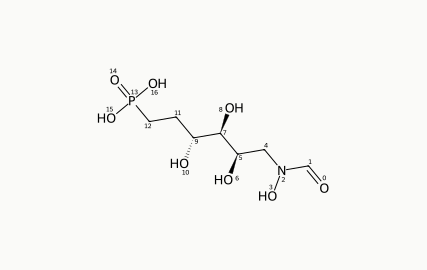 O=CN(O)C[C@@H](O)[C@H](O)[C@H](O)CCP(=O)(O)O